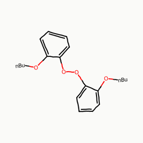 CCCCOc1ccccc1OOc1ccccc1OCCCC